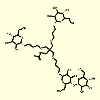 CC(=S)NCC(COCCCS[C@H]1OC(CO)[C@@H](O)C(O)C1O)(COCCCS[C@H]1OC(CO)[C@@H](O)C(O)C1O)COCCCS[C@@H]1OC(CO)[C@@H](O[C@@H]2OC(CO)[C@H](O)C(O)C2O)C(O)C1O